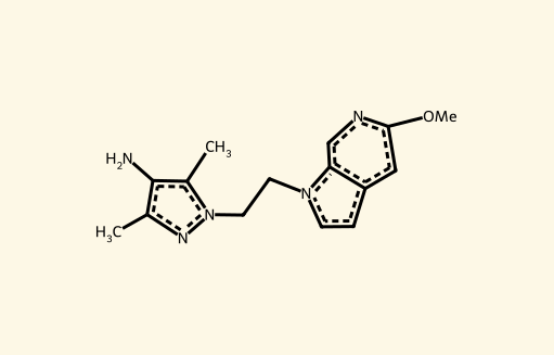 COc1cc2ccn(CCn3nc(C)c(N)c3C)c2cn1